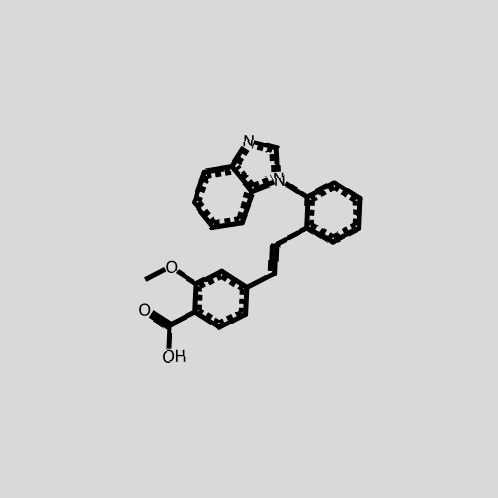 COc1cc(C=Cc2ccccc2-n2cnc3ccccc32)ccc1C(=O)O